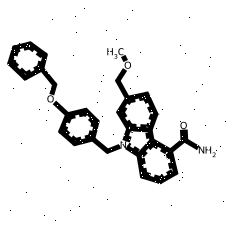 COCc1c[c]c2c3c(C(N)=O)cccc3n(Cc3ccc(OCc4ccccc4)cc3)c2c1